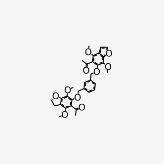 COc1c2c(c(OC)c(C(C)=O)c1OCc1cccc(COc3c(C(C)=O)c(OC)c4ccoc4c3OC)c1)CCO2